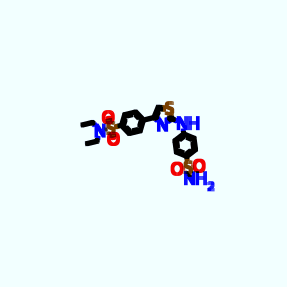 CCN(CC)S(=O)(=O)c1ccc(-c2csc(Nc3ccc(S(N)(=O)=O)cc3)n2)cc1